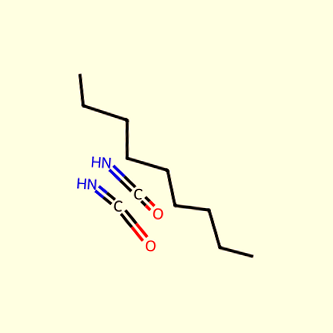 CCCCCCCCC.N=C=O.N=C=O